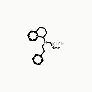 CNCN(CCc1ccccc1)C1CCCc2ccccc21.Cl.Cl